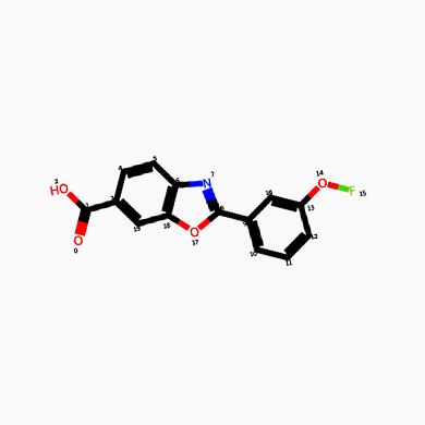 O=C(O)c1ccc2nc(-c3cccc(OF)c3)oc2c1